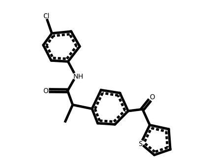 CC(C(=O)Nc1ccc(Cl)cc1)c1ccc(C(=O)c2cccs2)cc1